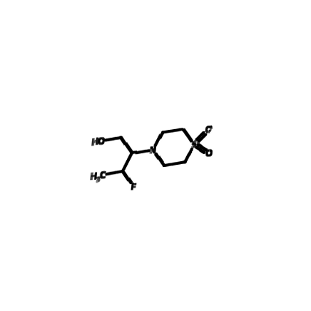 CC(F)C(CO)N1CCS(=O)(=O)CC1